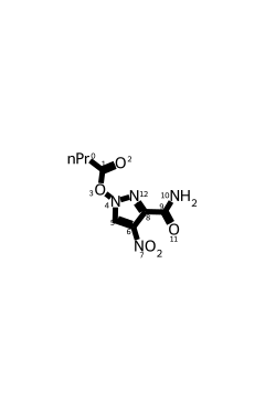 CCCC(=O)On1cc([N+](=O)[O-])c(C(N)=O)n1